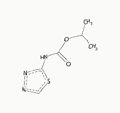 CC(C)OC(=O)Nc1nncs1